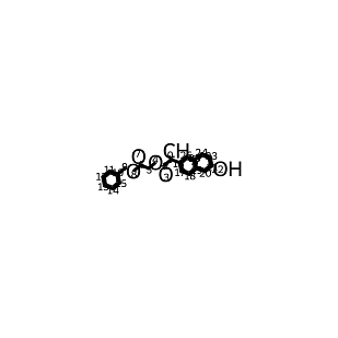 CC(C(=O)OCC(=O)OCc1ccccc1)c1ccc2cc(O)ccc2c1